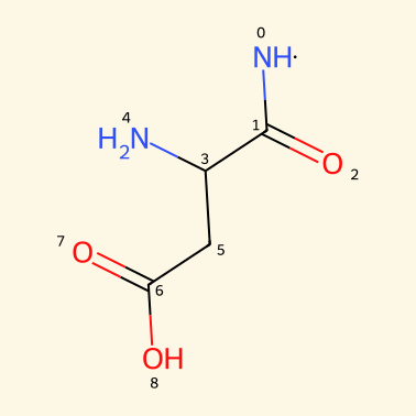 [NH]C(=O)C(N)CC(=O)O